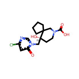 O=C(O)N1CC[C@@](O)(Cn2cnc(Cl)cc2=O)C2(CCCC2)C1